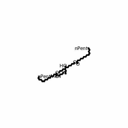 CCCCC/C=C\C/C=C\CCCCCCCC(=O)OCCCCCC(O)C(CCCCOC(=O)CCCCCCC/C=C\C/C=C\CCCCC)CN(C)CCCNC